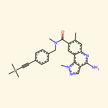 Cc1cc2nc(N)c3cnn(C)c3c2cc1C(=O)N(C)Cc1ccc(C#C[Si](C)(C)C)cc1